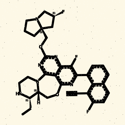 C#Cc1c(F)ccc2cccc(-c3nc4c5c(nc(OC[C@@]67CCCN6C[C@H](F)C7)nc5c3F)N3CCN[C@@H](CC)[C@H]3CO4)c12